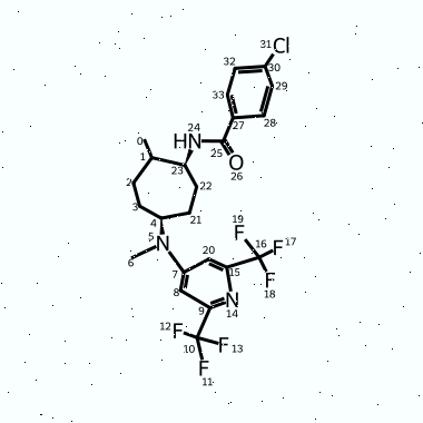 CC1CC[C@H](N(C)c2cc(C(F)(F)F)nc(C(F)(F)F)c2)CC[C@@H]1NC(=O)c1ccc(Cl)cc1